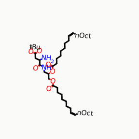 CCCCCCCC/C=C\CCCCCCCC(=O)OCC(CNC(=O)C(N)CC(=O)OC(C)(C)C)OC(=O)CCCCCCC/C=C\CCCCCCCC